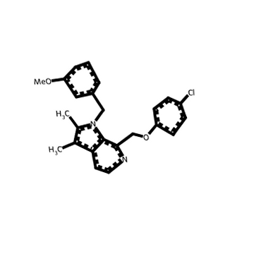 COc1cccc(Cn2c(C)c(C)c3ccnc(COc4ccc(Cl)cc4)c32)c1